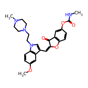 CNC(=O)Oc1ccc2c(c1)C(=O)C(=Cc1cn(CCN3CCN(C)CC3)c3ccc(OC)cc13)O2